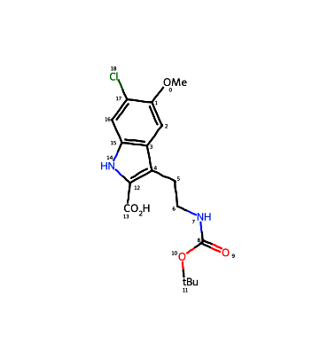 COc1cc2c(CCNC(=O)OC(C)(C)C)c(C(=O)O)[nH]c2cc1Cl